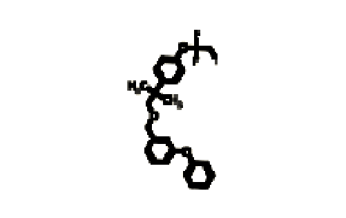 CC(C)(COCc1cccc(Oc2ccccc2)c1)c1ccc(OC(F)(F)CI)cc1